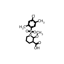 COC1C(C(=O)O)CCCN1S(=O)(=O)c1cc(C)c(Cl)cc1C